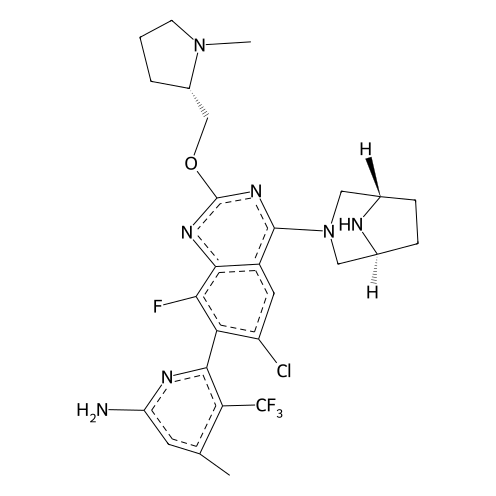 Cc1cc(N)nc(-c2c(Cl)cc3c(N4C[C@@H]5CC[C@@H](C4)N5)nc(OC[C@@H]4CCCN4C)nc3c2F)c1C(F)(F)F